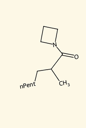 CCCCCCC(C)C(=O)N1CCC1